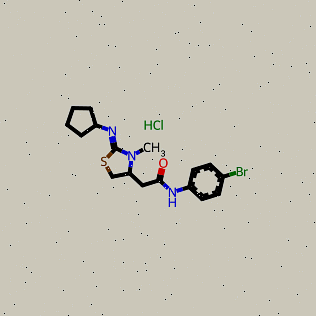 CN1C(=NC2CCCC2)SCC1CC(=O)Nc1ccc(Br)cc1.Cl